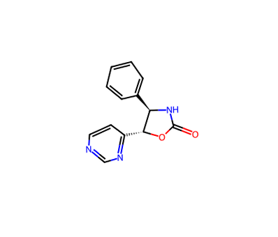 O=C1N[C@H](c2ccccc2)[C@@H](c2ccncn2)O1